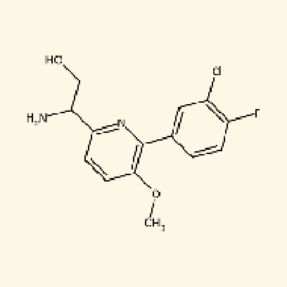 COc1ccc(C(N)CO)nc1-c1ccc(F)c(Cl)c1